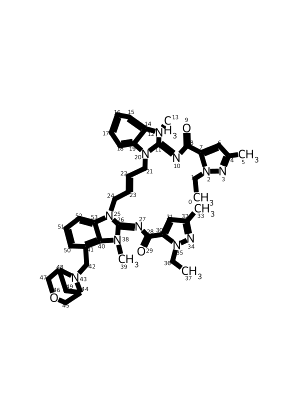 CCn1nc(C)cc1C(=O)/N=c1\n(C)c2ccccc2n1C/C=C/Cn1/c(=N/C(=O)c2cc(C)nn2CC)n(C)c2c(CN3C4COCC3C4)cccc21